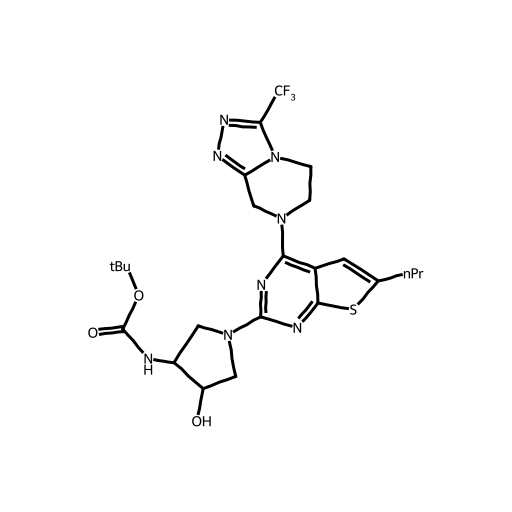 CCCc1cc2c(N3CCn4c(nnc4C(F)(F)F)C3)nc(N3CC(O)C(NC(=O)OC(C)(C)C)C3)nc2s1